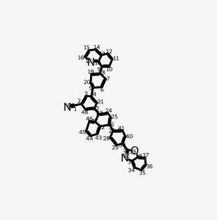 N#Cc1cc(-c2ccc(-c3cccc4cccnc34)cc2)cc(-c2ccc(-c3ccc(-c4nc5ccccc5o4)cc3)c3ccccc23)c1